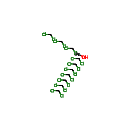 CC(C)O.ClCCl.ClCCl.ClCCl.ClCCl.ClCCl.ClCCl.ClCCl.ClCCl.ClCCl.ClCCl